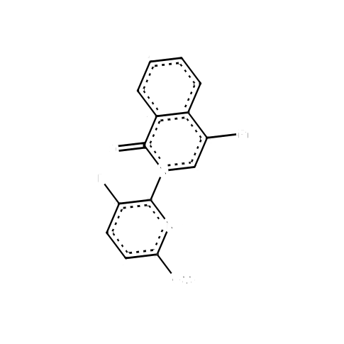 COc1ccc(F)c(-n2cc(C(C)C)c3ccccc3c2=O)n1